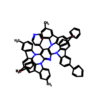 Cc1ccc2c(c1)c1cc(C)ccc1n2-c1nc(-n2c3ccc(-c4ccccc4)cc3c3cc(-c4ccccc4)ccc32)c(-n2c3ccc(C)cc3c3cc(C)ccc32)c(-c2ccncc2)c1-n1c2ccc(C)cc2c2cc(C)ccc21